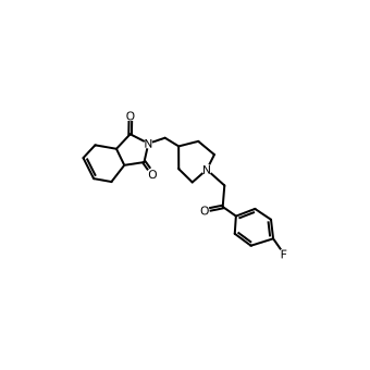 O=C(CN1CCC(CN2C(=O)C3CC=CCC3C2=O)CC1)c1ccc(F)cc1